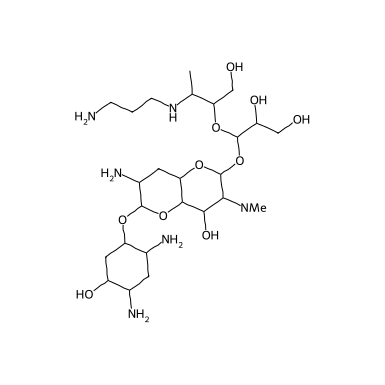 CNC1C(OC(OC(CO)C(C)NCCCN)C(O)CO)OC2CC(N)C(OC3CC(O)C(N)CC3N)OC2C1O